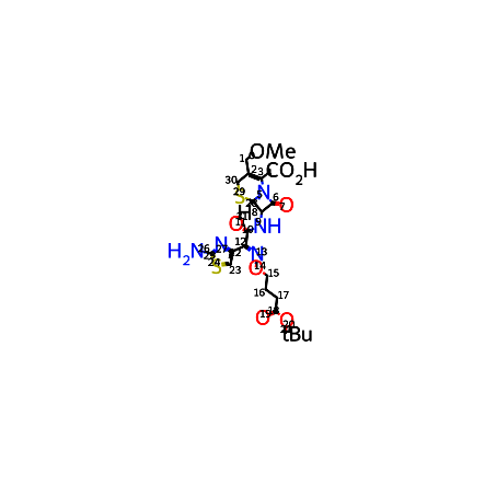 COCC1=C(C(=O)O)N2C(=O)C(NC(=O)C(=NOCCCC(=O)OC(C)(C)C)c3csc(N)n3)[C@@H]2SC1